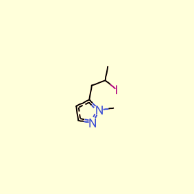 CC(I)Cc1ccnn1C